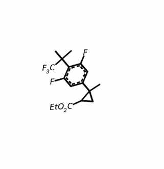 CCOC(=O)C1CC1(C)c1cc(F)c(C(C)(C)C(F)(F)F)c(F)c1